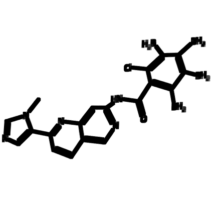 Bc1c(B)c(B)c(C(=O)Nc2cc3nc(-c4cncn4C)ccc3cn2)c(Cl)c1B